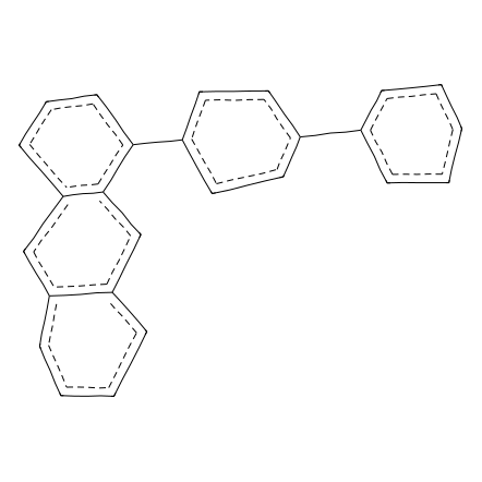 c1ccc(-c2ccc(-c3cccc4cc5ccccc5cc34)cc2)cc1